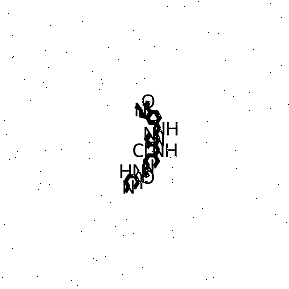 CN1CC[C@@H](NC(=O)N2CCC(Nc3nc(Nc4ccc5c(c4)CN(C)C5=O)ncc3Cl)CC2)[C@@H](F)C1